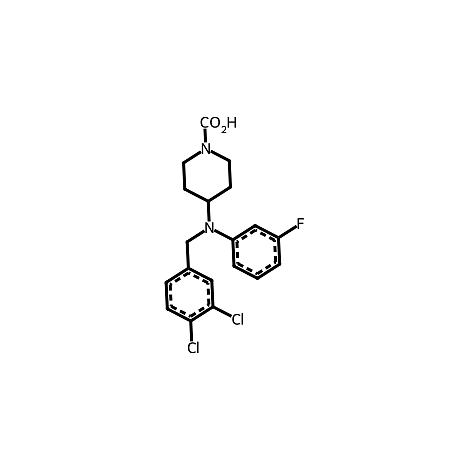 O=C(O)N1CCC(N(Cc2ccc(Cl)c(Cl)c2)c2cccc(F)c2)CC1